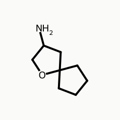 NC1COC2(CCCC2)C1